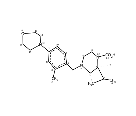 C[C@]1(C(C(F)(F)F)C(F)(F)F)CN(Cc2ccc(N3CCOCC3)cc2C(F)(F)F)CCN1C(=O)O